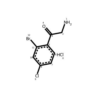 Cl.NCC(=O)c1ccc(Cl)cc1Br